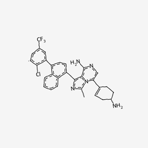 Cc1nc(-c2ccc(-c3cc(C(F)(F)F)c[c]c3Cl)c3ccccc23)c2c(N)ncc(C3=CCC(N)CC3)n12